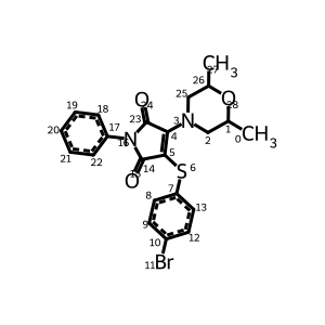 CC1CN(C2=C(Sc3ccc(Br)cc3)C(=O)N(c3ccccc3)C2=O)CC(C)O1